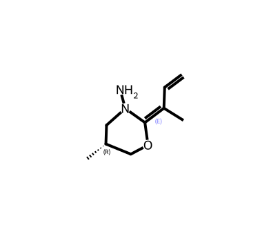 C=C/C(C)=C1/OC[C@H](C)CN1N